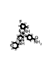 NC(=O)C1CCC(n2c(Nc3c(F)cc(F)cc3F)nc3cnc(NC4CCCOCC4)nc32)CC1